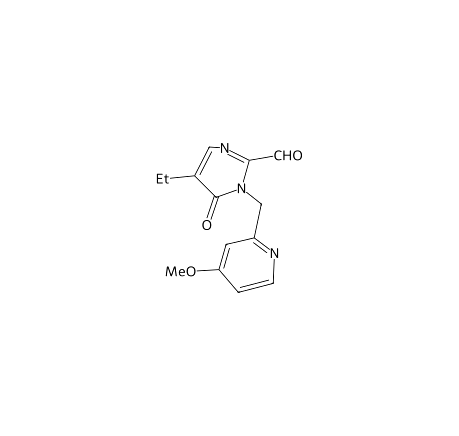 CCc1cnc(C=O)n(Cc2cc(OC)ccn2)c1=O